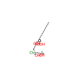 CCCCCCCCCCCCCCCCc1ccc(C(=O)O)c(C(C)OC(=O)CCC/C=C\C[C@@H]2[C@@H](/C=C/C[C@H](O)C3(CC)CCC3)[C@H](O)C[C@H]2Cl)c1